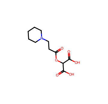 O=C(CCN1CCCCC1)OC(C(=O)O)C(=O)O